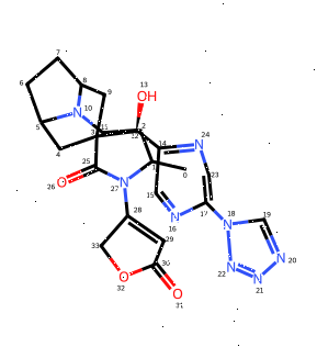 CC1CC2(CC3CCC(C2)N3C[C@@H](O)c2cnc(-n3cnnn3)cn2)C(=O)N1C1=CC(=O)OC1